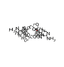 Nc1ncnc2c1ncn2[C@@H]1O[C@@]23CO[C@@H]1[C@@H]2O[P@@](=O)(S)OC[C@@]12CO[C@@H]([C@H](n4cnc5c(N)ncnc54)O1)[C@@H]2O[P@@](=O)(S)OC3